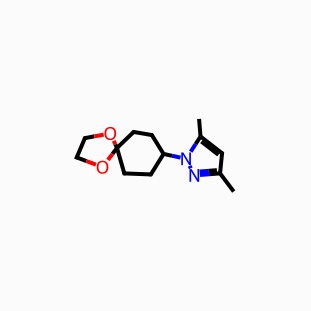 Cc1cc(C)n(C2CCC3(CC2)OCCO3)n1